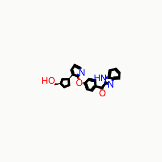 O=C(c1ccc(Oc2ncccc2[C@H]2CC[C@@H](CO)C2)cc1)c1nc2ccccc2[nH]1